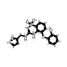 O=S1(=O)N=C(NCc2ccsn2)Nc2c(Oc3ccccc3Cl)cccc21